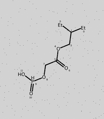 CCC(CC)COC(=O)CO[PH](=O)O